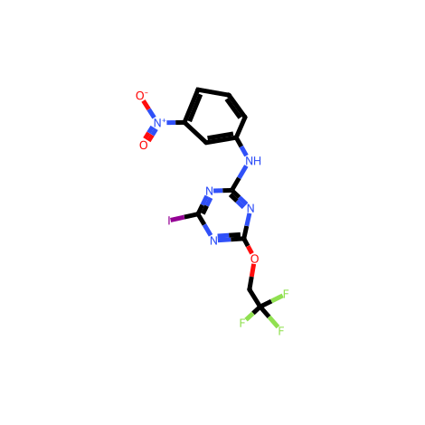 O=[N+]([O-])c1cccc(Nc2nc(I)nc(OCC(F)(F)F)n2)c1